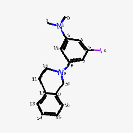 CN(C)c1cc(I)cc(N2CCc3ccccc3C2)c1